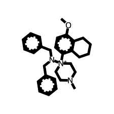 COc1ccc([N+]2(N(Cc3ccccc3)Cc3ccccc3)CCN(C)CC2)c2c1CCCC2